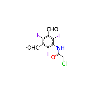 O=[C]c1c(I)c([C]=O)c(I)c(NC(=O)CCl)c1I